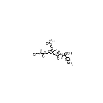 CC(C)(C)C(=O)OCOC(=O)C1(C=CCOC(=O)NCCCl)CS[C@@H]2C(NC(=O)C(=NO)c3csc(N)n3)C(=O)N2C1